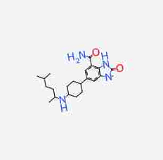 CC(C)CCC(C)NC1CCC(c2cc3c(c(C(N)=O)c2)NC(=O)[N]3)CC1